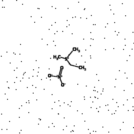 CC[S+](C)C.O=[N+]([O-])[O-]